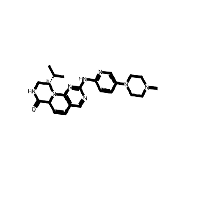 CC(C)[C@H]1CNC(=O)C2C=Cc3cnc(Nc4ccc(N5CCN(C)CC5)cn4)nc3N21